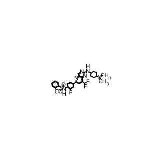 CN(C)C1CCC(Nc2ncc3nc(-c4ccc(NS(=O)(=O)c5ccccc5Cl)c(F)c4)cc(C(F)F)c3n2)CC1